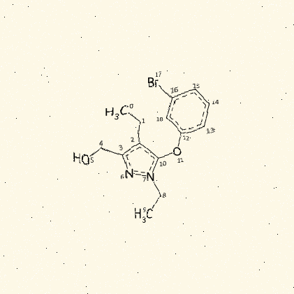 CCc1c(CO)nn(CC)c1Oc1cccc(Br)c1